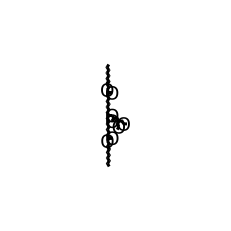 CCCCCC/C=C/COC(=O)CCCCCCCC(CCCCCCCC(=O)OC/C=C/CCCCCC)OC(=O)CC(COC)COC